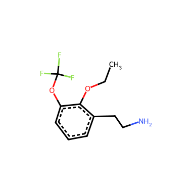 CCOc1c(CCN)cccc1OC(F)(F)F